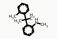 CNc1ccccc1C(C)(C)c1ccccc1C